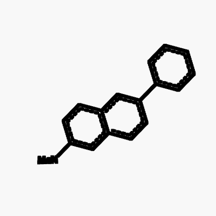 CNc1ccc2cc(-c3ccccc3)ccc2c1